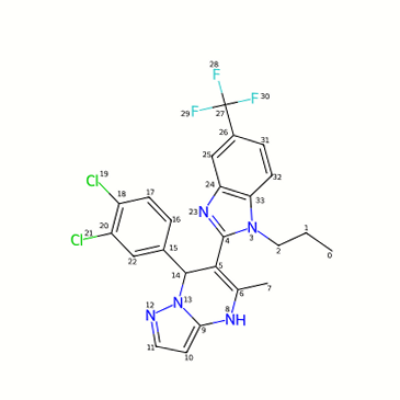 CCCn1c(C2=C(C)Nc3ccnn3C2c2ccc(Cl)c(Cl)c2)nc2cc(C(F)(F)F)ccc21